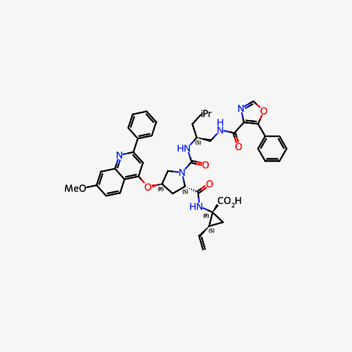 C=C[C@@H]1C[C@]1(NC(=O)[C@@H]1C[C@@H](Oc2cc(-c3ccccc3)nc3cc(OC)ccc23)CN1C(=O)N[C@H](CNC(=O)c1ncoc1-c1ccccc1)CC(C)C)C(=O)O